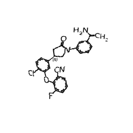 C=C(N)c1cccc(N2C[C@@H](c3ccc(Cl)c(Oc4c(F)cccc4C#N)c3)CC2=O)c1